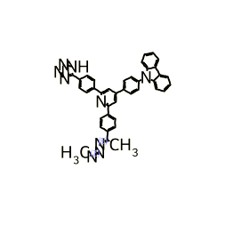 C/N=N\N=C(/C)c1ccc(-c2cc(-c3ccc(-n4c5ccccc5c5ccccc54)cc3)cc(-c3ccc(-c4nnn[nH]4)cc3)n2)cc1